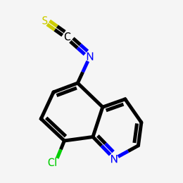 S=C=Nc1ccc(Cl)c2ncccc12